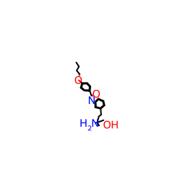 CCCCOc1ccc(-c2nc3cc(CCC(C)(N)CO)ccc3o2)cc1